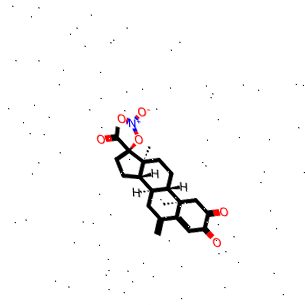 C=C1C[C@@H]2[C@H](CC[C@@]3(C)[C@H]2CC[C@]3(O[N+](=O)[O-])C(C)=O)[C@@]2(C)CC(=O)C(=O)C=C12